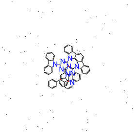 c1ccc(-c2cc3ccc(-n4c5ccccc5c5ccc6c7ccccc7n(-c7nc(-n8c9ccccc9c9ccccc98)nc(-n8c9ccccc9c9ccccc98)n7)c6c54)nc3c3ncccc23)cc1